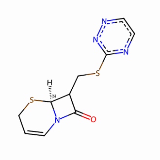 O=C1C(CSc2nccnn2)[C@@H]2SCC=CN12